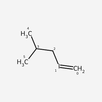 C=ICC(C)C